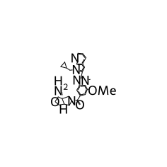 COc1cc(C(=O)N2C[C@H]3COC[C@@]3(CN)C2)cc2nc(-c3cc4cccnc4n3CC3CC3)n(C)c12